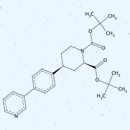 CC(C)(C)OC(=O)[C@H]1C[C@@H](c2ccc(-c3cccnc3)cc2)CCN1C(=O)OC(C)(C)C